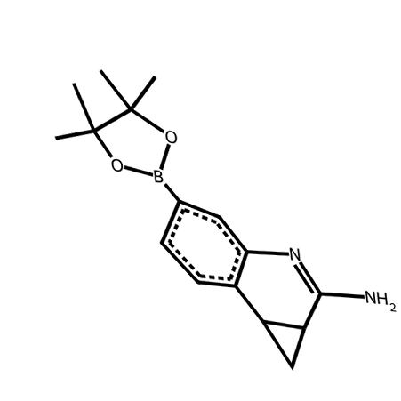 CC1(C)OB(c2ccc3c(c2)N=C(N)C2CC32)OC1(C)C